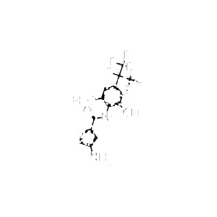 Cc1cc(C(F)(C(F)(F)F)C(F)(F)F)cc(C)c1NC(=O)c1cc(N)cs1